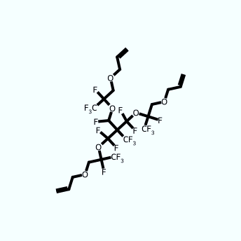 C=CCOCC(F)(OC(F)C(C(F)(F)F)(C(F)(F)OC(F)(COCC=C)C(F)(F)F)C(F)(F)OC(F)(COCC=C)C(F)(F)F)C(F)(F)F